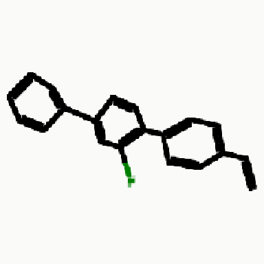 C=Cc1ccc(-c2ccc(-c3ccccc3)cc2F)cc1